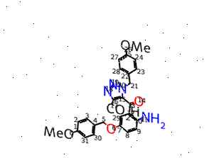 COc1ccc(COc2ccc(N)c(C(=O)c3c(C(=O)O)nnn3Cc3ccc(OC)cc3)c2)cc1